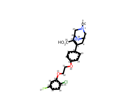 CC(=O)N1CC2CC(c3ccc(OCCOc4cc(F)ccc4Cl)cc3)=C(C(=O)O)C(C1)N2